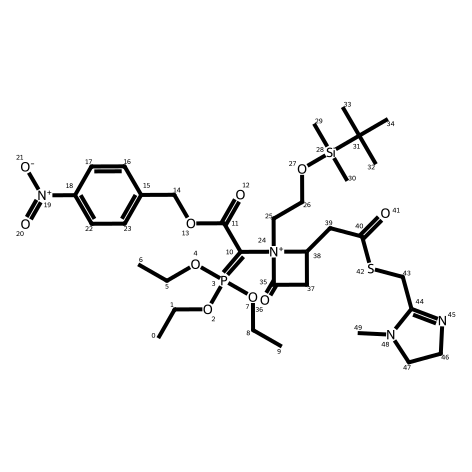 CCOP(OCC)(OCC)=C(C(=O)OCc1ccc([N+](=O)[O-])cc1)[N+]1(CCO[Si](C)(C)C(C)(C)C)C(=O)CC1CC(=O)SCC1=NCCN1C